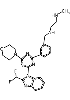 CNCCNCc1cccc(-c2nc(N3CCOCC3)nc(-n3c(C(F)F)nc4ccccc43)n2)c1